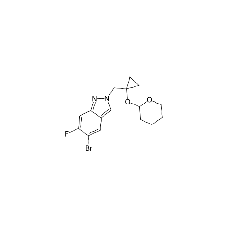 Fc1cc2nn(CC3(OC4CCCCO4)CC3)cc2cc1Br